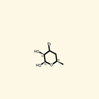 CCC1C[C@@H](C)O[C@@H](O)[C@H]1O